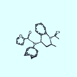 CC(=O)N1c2ccccc2C(N(C(=O)c2ccco2)c2ccccc2)CC1C